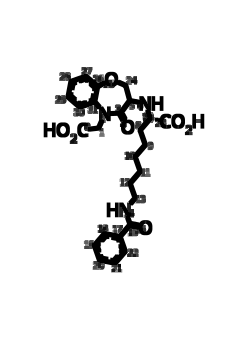 O=C(O)CN1C(=O)C(N[C@@H](CCCCCCNC(=O)c2ccccc2)C(=O)O)COc2ccccc21